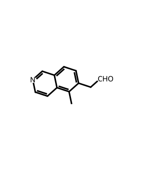 Cc1c(CC=O)ccc2cnccc12